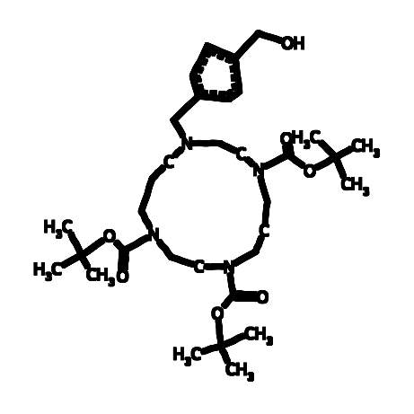 CC(C)(C)OC(=O)N1CCCN(C(=O)OC(C)(C)C)CCN(C(=O)OC(C)(C)C)CCCN(Cc2ccc(CO)cc2)CC1